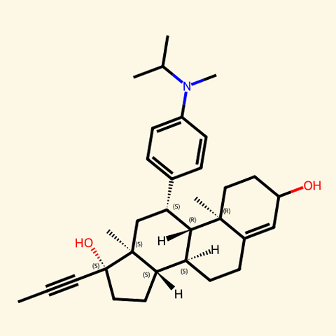 CC#C[C@]1(O)CC[C@H]2[C@@H]3CCC4=CC(O)CC[C@]4(C)[C@H]3[C@@H](c3ccc(N(C)C(C)C)cc3)C[C@@]21C